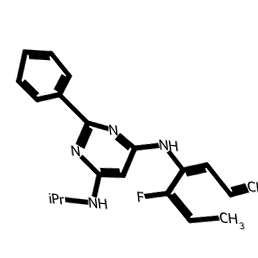 C=C/C=C(Nc1cc(NC(C)C)nc(-c2ccccc2)n1)\C(F)=C/C